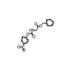 O=C(CNC(=O)Oc1ccc([N+](=O)[O-])cc1)OCc1ccccc1